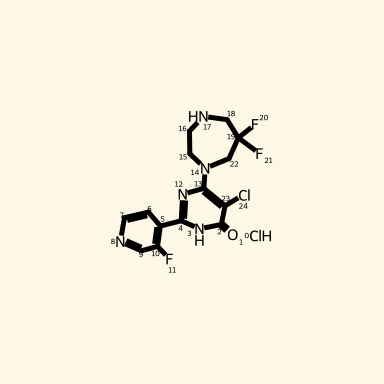 Cl.O=c1[nH]c(-c2ccncc2F)nc(N2CCNCC(F)(F)C2)c1Cl